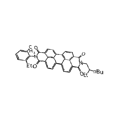 CCCCC(CC)CN1C(=O)c2ccc3c4ccc5c6c(ccc(c7ccc(c2c37)C1=O)c64)C(=O)N(c1c(C)cccc1CC)C5=O